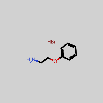 Br.NCCOc1ccccc1